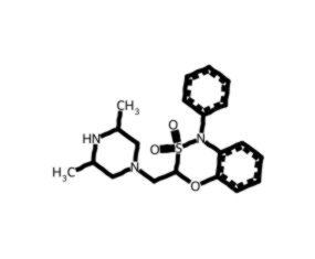 CC1CN(CC2Oc3ccccc3N(c3ccccc3)S2(=O)=O)CC(C)N1